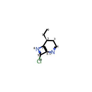 CC[C@H]1CC=NC2=C1N=C2Cl